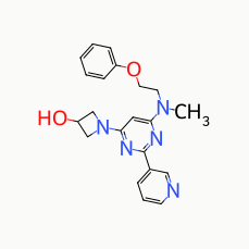 CN(CCOc1ccccc1)c1cc(N2CC(O)C2)nc(-c2cccnc2)n1